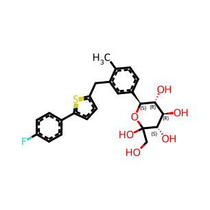 Cc1ccc([C@@H]2OC(O)(CO)[C@@H](O)[C@H](O)[C@H]2O)cc1Cc1ccc(-c2ccc(F)cc2)s1